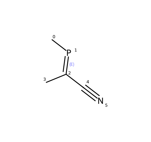 C/P=C(\C)C#N